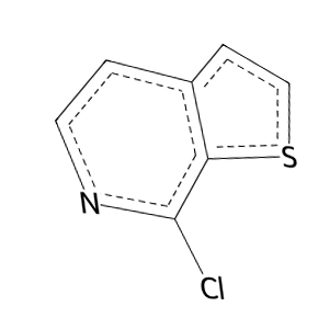 Clc1nccc2ccsc12